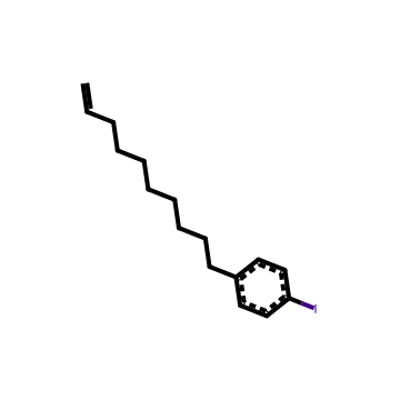 C=CCCCCCCCCc1ccc(I)cc1